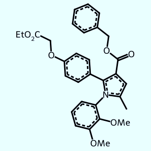 CCOC(=O)COc1ccc(-c2c(C(=O)OCc3ccccc3)cc(C)n2-c2cccc(OC)c2OC)cc1